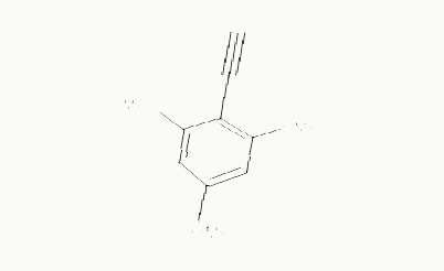 C#Cc1c(OC)cc(OC)cc1OC